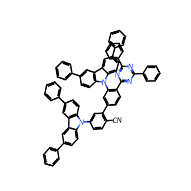 N#Cc1ccc(-n2c3ccc(-c4ccccc4)cc3c3cc(-c4ccccc4)ccc32)cc1-c1ccc(-c2nc(-c3ccccc3)nc(-c3ccccc3)n2)c(-n2c3ccc(-c4ccccc4)cc3c3cc(-c4ccccc4)ccc32)c1